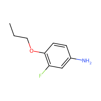 CCCOc1ccc(N)cc1F